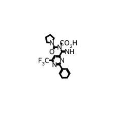 N=C(c1cc(C(F)(F)F)nc(C2=CCCC=C2)n1)N(C(=O)O)C(=O)N1CCCC1